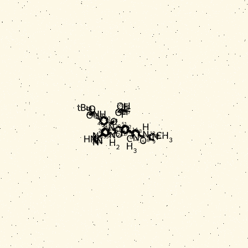 Cc1nc(C(=O)N[C@@H]2CCN(C)C2)ccc1-c1ccc(C[C@@H](C(N)=O)N(c2ccc(-c3nn[nH]n3)cc2)C(=O)[C@H]2CC[C@H](CNC(=O)OC(C)(C)C)CC2)cc1.O=C(O)C(F)(F)F